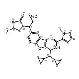 COCC(c1ccc2oc(C(NC(=O)c3ccnn3C)C(C3CC3)C3CC3)nc2c1)N1CC(C(F)(F)F)NC1=O